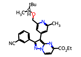 CCOC(=O)c1ccn2nc(-c3cccc(C#N)c3)c(-c3cc(C)nc(CO[SiH](C)C(C)(C)C)c3)c2n1